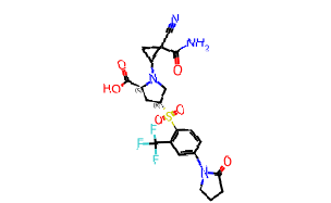 N#CC1(C(N)=O)CC1N1C[C@H](S(=O)(=O)c2ccc(N3CCCC3=O)cc2C(F)(F)F)C[C@H]1C(=O)O